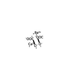 O=C([O-])[O-].O=C([O-])[O-].[Ba+2].[Ca+2]